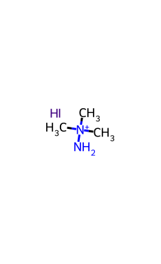 C[N+](C)(C)N.I